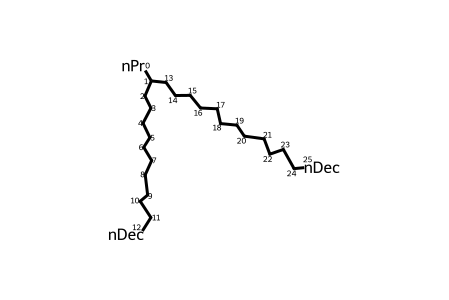 [CH2]CCC(CCCCCCCCCCCCCCCCCCCC)CCCCCCCCCCCCCCCCCCCCCC